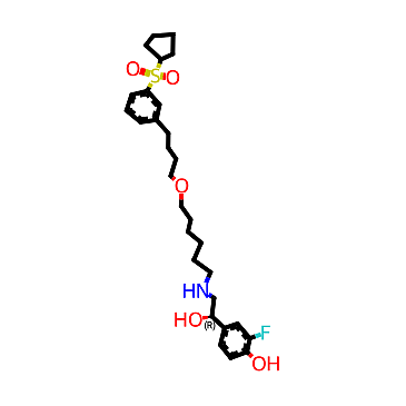 O=S(=O)(c1cccc(CCCCOCCCCCCNC[C@H](O)c2ccc(O)c(F)c2)c1)C1CCCC1